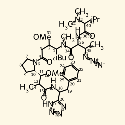 CCC(C)C(C(CC(=O)N1CCC[C@H]1C(OC)C(C)C(=O)NC(Cc1ccccc1)c1nnn[nH]1)OC)N(C)C(=O)C(NC(=O)C(C(C)C)N(C)C)C(C)N=[N+]=[N-]